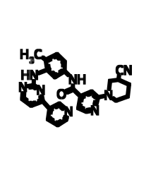 Cc1ccc(NC(=O)c2ccnc(N3CCCC(C#N)C3)c2)cc1Nc1nccc(-c2cccnc2)n1